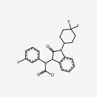 O=C1C(N(C(=O)Cl)c2cccc(F)c2)c2ccccc2N1C1CCC(F)(F)CC1